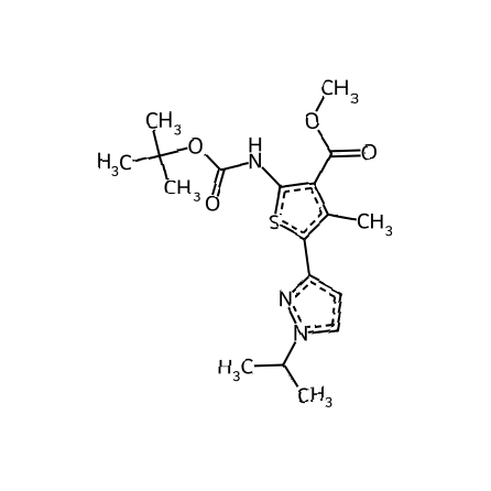 COC(=O)c1c(NC(=O)OC(C)(C)C)sc(-c2ccn(C(C)C)n2)c1C